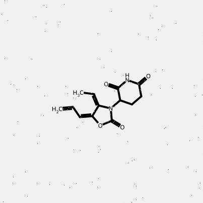 C=C/C=c1/oc(=O)n(C2CCC(=O)NC2=O)/c1=C/C